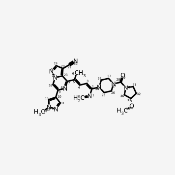 C=N/C(=C\C=C(/C)c1nc(-c2cnn(C)c2)cn2ncc(C#N)c12)N1CCN(C(=O)N2CC[C@H](OC)C2)CC1